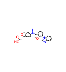 Cc1nc2ccccc2n1-c1cccc2c1OC[C@H]2Nc1ccc2c(c1)CO[C@H]2CC(=O)O